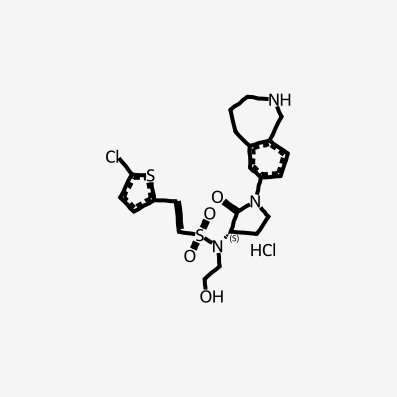 Cl.O=C1[C@@H](N(CCO)S(=O)(=O)C=Cc2ccc(Cl)s2)CCN1c1ccc2c(c1)CCCNC2